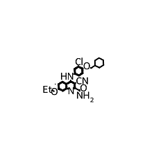 CCOc1[c]cc2c(Nc3ccc(OCC4CCCCC4)c(Cl)c3)c(C#N)c(C(N)=O)nc2c1